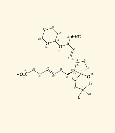 CCCCCC(C=C[C@@H]1CCC2(OCC(C)(C)CO2)[C@H]1CCC=CCCC(=O)O)OC1CCCCO1